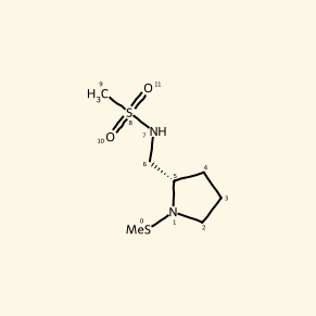 CSN1CCC[C@H]1CNS(C)(=O)=O